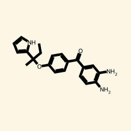 CCC(C)(Oc1ccc(C(=O)c2ccc(N)c(N)c2)cc1)c1ccc[nH]1